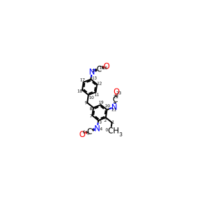 CCc1c(N=C=O)cc(Cc2ccc(N=C=O)cc2)cc1N=C=O